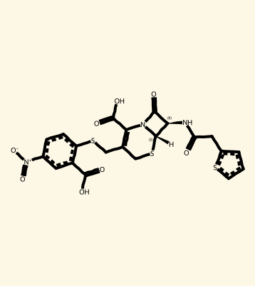 O=C(Cc1cccs1)N[C@@H]1C(=O)N2C(C(=O)O)=C(CSc3ccc([N+](=O)[O-])cc3C(=O)O)CS[C@@H]12